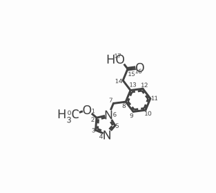 COc1cncn1Cc1ccccc1CC(=O)O